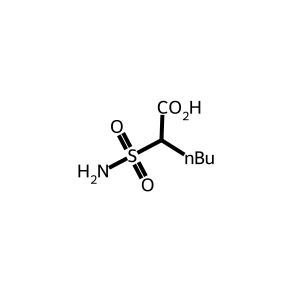 CCCCC(C(=O)O)S(N)(=O)=O